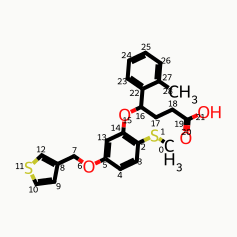 CSc1ccc(OCc2ccsc2)cc1OC(CCC(=O)O)c1ccccc1C